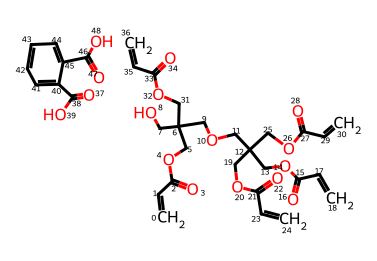 C=CC(=O)OCC(CO)(COCC(COC(=O)C=C)(COC(=O)C=C)COC(=O)C=C)COC(=O)C=C.O=C(O)c1ccccc1C(=O)O